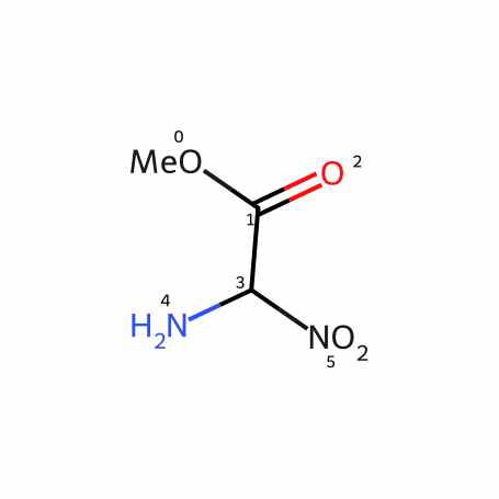 COC(=O)C(N)[N+](=O)[O-]